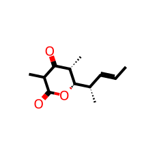 C/C=C/[C@H](C)[C@@H]1OC(=O)C(C)C(=O)[C@@H]1C